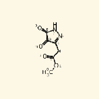 COC(=O)CC1=NNC(=O)C1=O